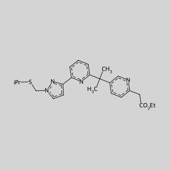 CCOC(=O)Cc1ccc(C(C)(C)c2cccc(-c3ccn(CSC(C)C)n3)n2)cn1